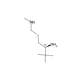 CNCCC[C@@H](N)C(C)(C)C